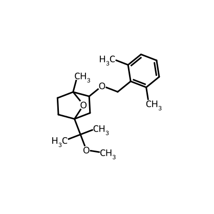 COC(C)(C)C12CCC(C)(O1)C(OCc1c(C)cccc1C)C2